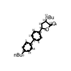 CCCCc1ccc(-c2ccc(C3CC(CCCC)C(=O)O3)cc2)cc1